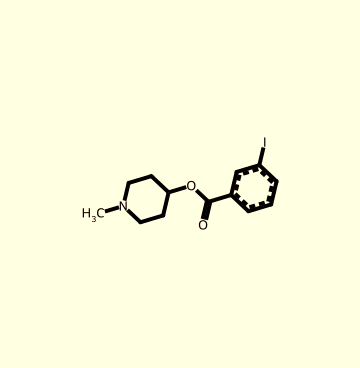 CN1CCC(OC(=O)c2cccc(I)c2)CC1